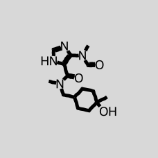 CN(CC1CCC(C)(O)CC1)C(=O)c1[nH]cnc1N(C)C=O